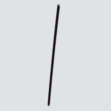 S=S=S=S=S=S=S=S=S=S=S=S=S=S=S=S=S=S=S=S=S=S=S=S=S=S=S=S=S=S=S=S=S=S=S=S=S=S=S=S=S=S=S=S=S=S=S=S=S=S=S=S=S=S=S=S=S=S=S=S=S=S=S=S=S=S=S=S=S=S=S=S=S=S=S=S=S=S=S=S=S=S=S=S=S=S=S=S=S=S=S=S=S=S=S=S=S=S=S=S=S=S=S=S=S=S=S=S=S=S=S=S=S=S=S=S=S=S=S=S=S=S=S=S=S=S=S=S=S=S=S=S=S=S=S=S=S=S=S